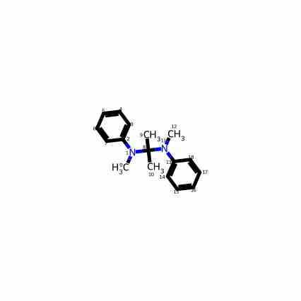 CN(c1ccccc1)C(C)(C)N(C)c1ccccc1